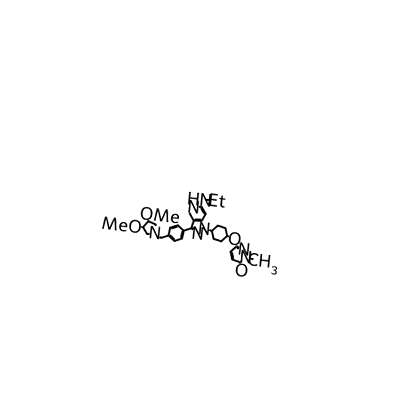 CCNc1cc2c(cn1)c(-c1ccc(CN3C[C@@H](OC)[C@H](OC)C3)cc1)nn2C1CCC(Oc2ccc(=O)n(C)n2)CC1